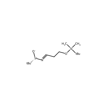 CC(C)(C)[S@+]([O-])N=CCCO[Si](C)(C)C(C)(C)C